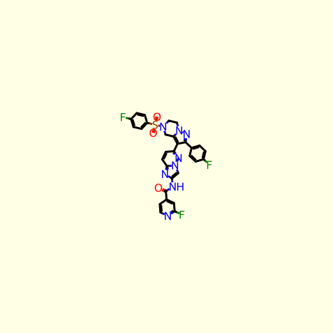 O=C(Nc1cn2nc(-c3c(-c4ccc(F)cc4)nn4c3CN(S(=O)(=O)c3ccc(F)cc3)CC4)ccc2n1)c1ccnc(F)c1